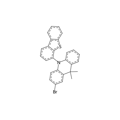 CC1(C)c2ccccc2N(c2cccc3c2sc2ccccc23)c2ccc(Br)cc21